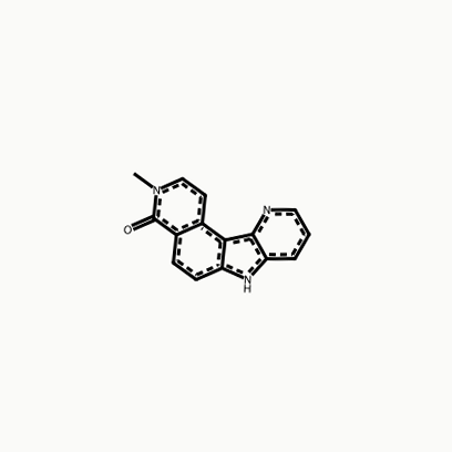 Cn1ccc2c(ccc3[nH]c4cccnc4c32)c1=O